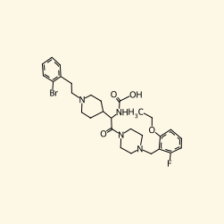 CCOc1cccc(F)c1CN1CCN(C(=O)C(NC(=O)O)C2CCN(CCc3ccccc3Br)CC2)CC1